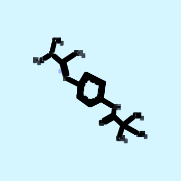 C/C(=N\c1ccc(NC(=O)C(C)(C)N)cc1)N(C)C